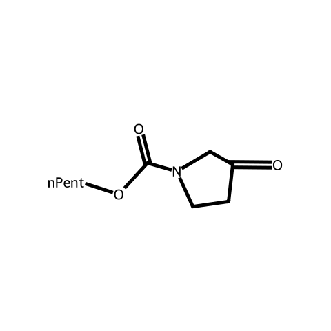 CCCCCOC(=O)N1CCC(=O)C1